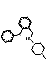 CN1CCN(NCc2ccccc2Sc2ccccc2)CC1